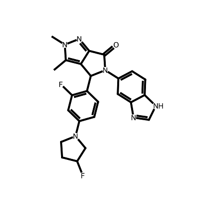 Cc1c2c(nn1C)C(=O)N(c1ccc3[nH]cnc3c1)C2c1ccc(N2CCC(F)C2)cc1F